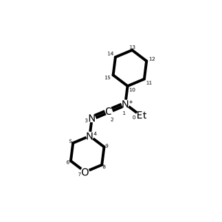 CC[N+](=C=NN1CCOCC1)C1CCCCC1